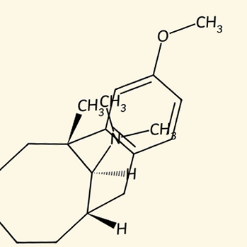 COc1ccc2c(c1)[C@@]1(C)CCCCC[C@@H](C2)[C@@H]1N(C)C